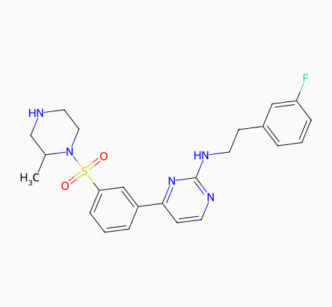 CC1CNCCN1S(=O)(=O)c1cccc(-c2ccnc(NCCc3cccc(F)c3)n2)c1